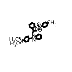 CCN(CC)c1ccc(-c2nc3ccccc3n2Cc2cn(S(=O)(=O)c3ccc(C)cc3)c3ccccc23)cc1